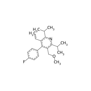 C=Cc1c(C(C)C)nc(C(C)C)c(COC)c1-c1ccc(F)cc1